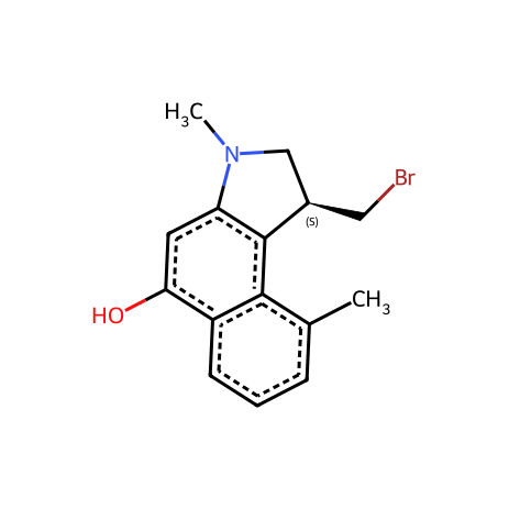 Cc1cccc2c(O)cc3c(c12)[C@H](CBr)CN3C